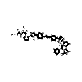 COC(=O)N[C@@H](C)C(=O)N1CCC[C@H]1c1ncc(-c2ccc(C#Cc3ccc(-c4cnc([C@@H]5CCCN5C(=O)[C@@H](c5ccccc5)N5CCOC5=O)[nH]4)cc3)cc2)[nH]1